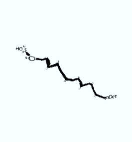 CCCCCCCCCCCCCCC=COS(=O)(=O)O